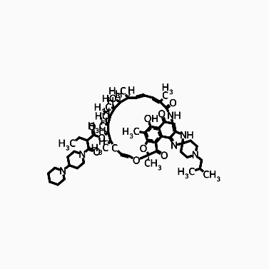 CCC(C(=O)O[C@H]1[C@H](C)[C@H](O)[C@H](C)[C@@H](O)[C@@H](C)/C=C/C=C(/C)C(=O)NC2=C3NC4(CCN(CC(C)C)CC4)N=C3c3c(c(O)c(C)c4c3C(=O)[C@@](C)(O/C=C/C[C@H]1C)O4)C2=O)C(=O)N1CCC(N2CCCCC2)CC1